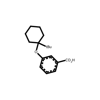 CC(C)(C)C1(Oc2cccc(C(=O)O)c2)CCCCC1